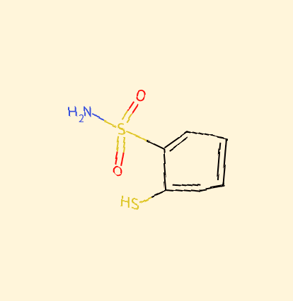 NS(=O)(=O)c1ccccc1S